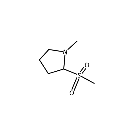 CN1CCCC1S(C)(=O)=O